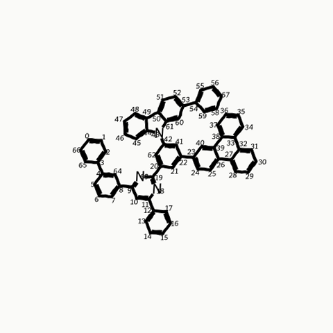 c1ccc(-c2cccc(-c3cc(-c4ccccc4)nc(-c4cc(-c5ccc6c7ccccc7c7ccccc7c6c5)cc(-n5c6ccccc6c6ccc(-c7ccccc7)cc65)c4)n3)c2)cc1